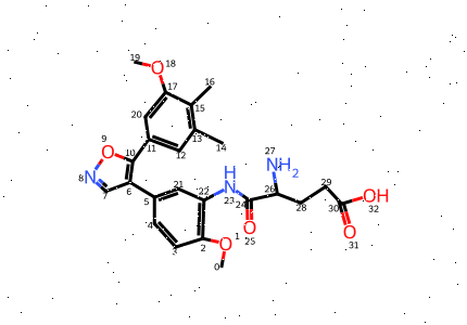 COc1ccc(-c2cnoc2-c2cc(C)c(C)c(OC)c2)cc1NC(=O)C(N)CCC(=O)O